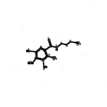 COc1c(C(C)(C)C)cc(C(=O)NCCCN)c(C)c1C(C)(C)C